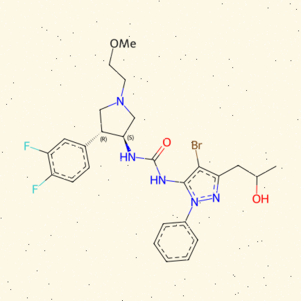 COCCN1C[C@@H](NC(=O)Nc2c(Br)c(CC(C)O)nn2-c2ccccc2)[C@H](c2ccc(F)c(F)c2)C1